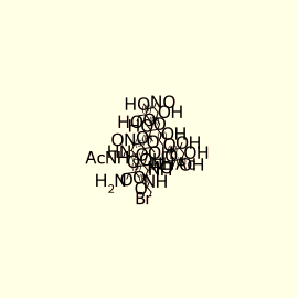 CC(=O)NNC1C(N=O)[C@H](O[C@@H]2OC(CO[C@H]3OC(CO)[C@@H](O)C(O)C3O)[C@@H](O)C(O[C@H]3OC(CO)[C@@H](O)C(N=O)C3O)C2O)C(CO)O[C@H]1O[C@@H]1C(CON)O[C@@H](NC(=O)CBr)C(NNC(C)=O)C1O